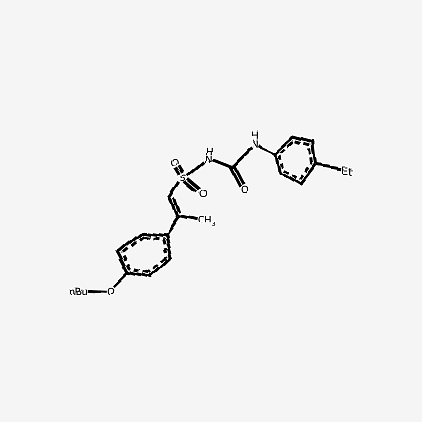 CCCCOc1ccc(C(C)=CS(=O)(=O)NC(=O)Nc2ccc(CC)cc2)cc1